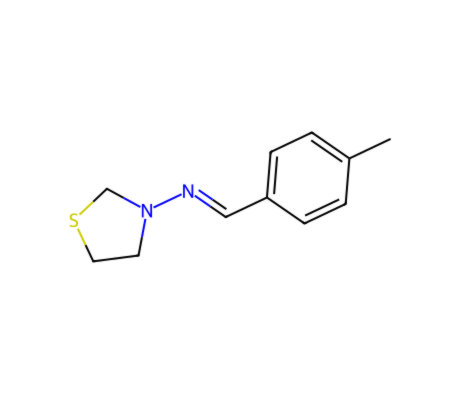 Cc1ccc(C=NN2CCSC2)cc1